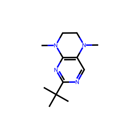 CN1CCN(C)c2nc(C(C)(C)C)ncc21